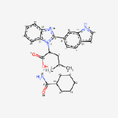 CC(C)CC(C(=O)O)n1c(-c2ccc3cc[nH]c3c2)nc2ccccc21.NC(=O)C1CCCCC1